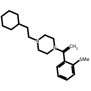 C=C(c1ccccc1SC)N1CCN(CCC2CCCCC2)CC1